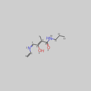 C=C/N=C\C(O)=C(/C)C(=O)NCCC